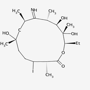 CC[C@H]1OC(=O)[C@H](C)C(I)CC[C@](C)(O)C[C@@H](C)C(=N)[C@H](C)[C@@H](O)[C@]1(C)O